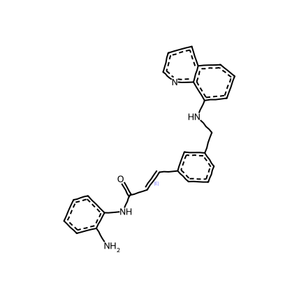 Nc1ccccc1NC(=O)/C=C/c1cccc(CNc2cccc3cccnc23)c1